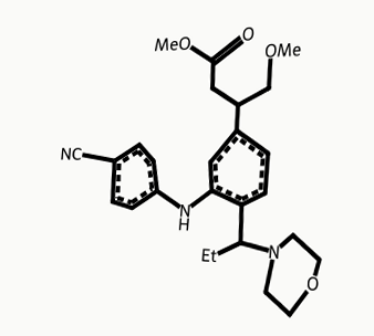 CCC(c1ccc(C(COC)CC(=O)OC)cc1Nc1ccc(C#N)cc1)N1CCOCC1